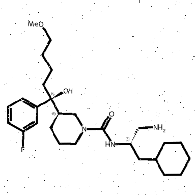 COCCCC[C@@](O)(c1cccc(F)c1)[C@@H]1CCCN(C(=O)N[C@H](CN)CC2CCCCC2)C1